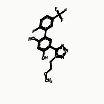 COCCn1nnnc1-c1cc(-c2cc(C(F)(F)F)ccc2F)c(O)cc1O